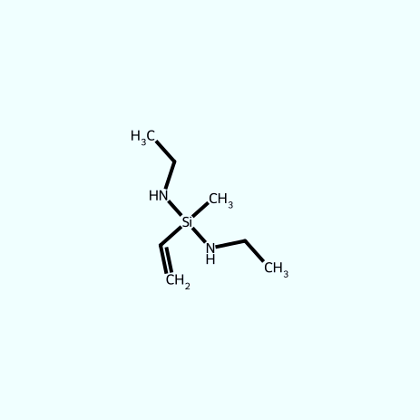 C=C[Si](C)(NCC)NCC